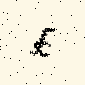 CCCOC=C(C)c1cccc(C(C)=COCCCOC)c1